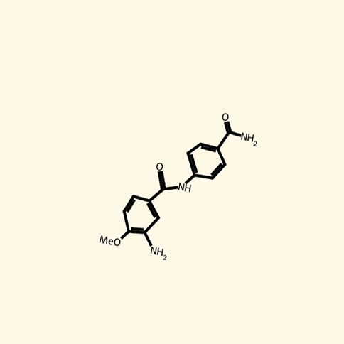 COc1ccc(C(=O)Nc2ccc(C(N)=O)cc2)cc1N